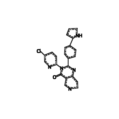 O=c1c2cnccc2nc(-c2ccc(-c3ccc[nH]3)cc2)n1-c1ccc(Cl)cn1